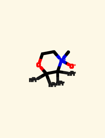 CCCC1(CCC)OCC[N+](C)([O-])C1(CCC)CCC